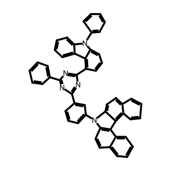 c1ccc(-c2nc(-c3cccc(-n4c5ccc6ccccc6c5c5c6ccccc6ccc54)c3)nc(-c3cccc4c3c3ccccc3n4-c3ccccc3)n2)cc1